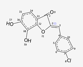 O=C1/C(=C/c2ccc(Cl)cc2)Oc2c1ccc(O)c2O